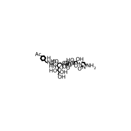 CC(=O)c1ccc(CNCC(=O)N[C@H]2C([C@H](O)[C@H](O)CO)O[C@](OP(=O)(O)OC[C@H]3O[C@@H](n4ccc(N)nc4=O)[C@@H](O)[C@H]3O)(C(=O)O)C[C@H]2O)cc1